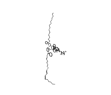 CCCCC/C=C\C=C\CCCCCCCCC(=O)O[C@H](COC(=O)CCCCCCCCCCCCCCC)COP(=O)(O)OCC[N+](C)(C)C